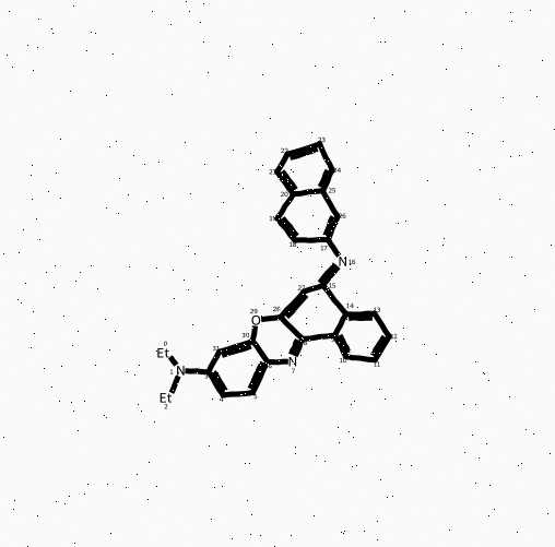 CCN(CC)c1ccc2nc3c4ccccc4/c(=N/c4ccc5ccccc5c4)cc-3oc2c1